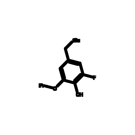 CC(C)Oc1cc(CC(C)(C)C)cc(F)c1O